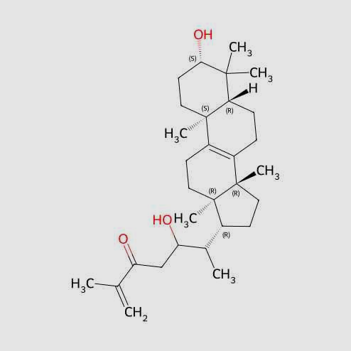 C=C(C)C(=O)CC(O)C(C)[C@H]1CC[C@@]2(C)C3=C(CC[C@]12C)[C@@]1(C)CC[C@H](O)C(C)(C)[C@@H]1CC3